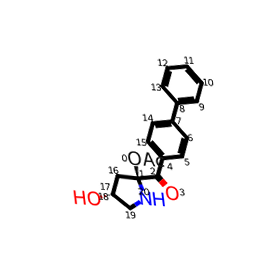 CC(=O)O[C@]1(C(=O)c2ccc(-c3ccccc3)cc2)C[C@@H](O)CN1